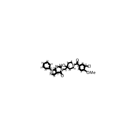 COc1ccc(C(=O)N2CCC(O)(Cn3cnc4c(cnn4-c4ccccc4)c3=O)CC2)cc1Cl